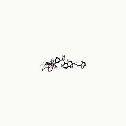 C[C@]1(c2cc(Nc3nccc4nc(OCc5ncco5)cnc34)ccc2F)N=C(N)[C@@]2(CF)CC[C@@H]1S2(O)O